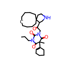 CCCN1C(=O)N(CC(=O)C2CNCCC23CCCCCCCCC3)C(=O)C(C)(C2=CCCCC2)C1=O